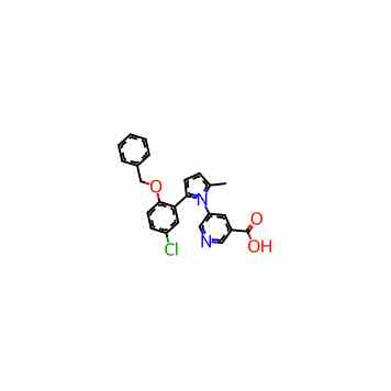 Cc1ccc(-c2cc(Cl)ccc2OCc2ccccc2)n1-c1cncc(C(=O)O)c1